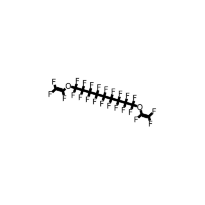 FC(F)=C(F)OC(F)(F)C(F)(F)C(F)(F)C(F)(F)C(F)(F)C(F)(F)C(F)(F)C(F)(F)C(F)(F)OC(F)=C(F)F